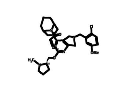 C=CC(=O)N1C2CCCC1CN(c1nc(OC[C@@H]3CCCN3C)nc3c1CN(Cc1cc(OC)ccc1Cl)C3)C2